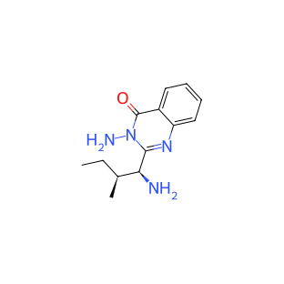 CC[C@H](C)[C@H](N)c1nc2ccccc2c(=O)n1N